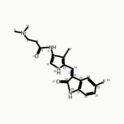 Cc1c(NC(=O)CCN(C)C)c[nH]c1/C=C1\C(=O)Nc2ccc(F)cc21